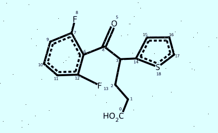 O=C(O)CCC(C(=O)c1c(F)cccc1F)c1cccs1